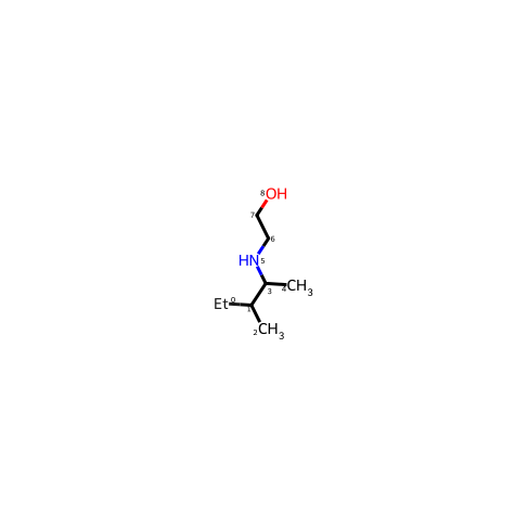 CCC(C)C(C)NCCO